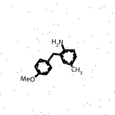 COc1ccc(Cc2cc(C)ccc2N)cc1